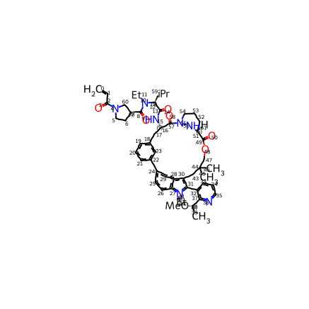 C=CC(=O)N1CC[C@H](C(=O)N(CC)[C@H](C(=O)N[C@H]2Cc3cccc(c3)-c3ccc4c(c3)c(c(-c3cccnc3[C@H](C)OC)n4CC)CC(C)(C)COC(=O)[C@@H]3CCCN(N3)C2=O)C(C)C)C1